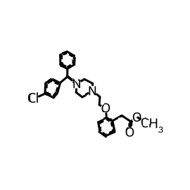 COC(=O)Cc1ccccc1OCCN1CCN(C(c2ccccc2)c2ccc(Cl)cc2)CC1